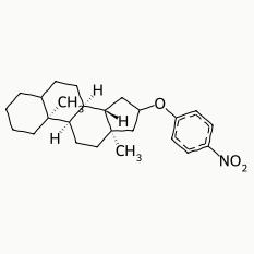 C[C@]12CC[C@@H]3[C@@H](CCC4CCCC[C@@]43C)[C@@H]1CC(Oc1ccc([N+](=O)[O-])cc1)C2